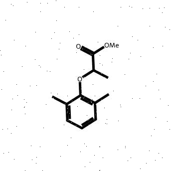 COC(=O)C(C)Oc1c(C)cccc1C